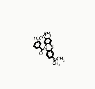 CN(C)c1ccc2c(c1)Sc1ccc(N(C)C)cc1N2C(=O)c1ccccc1